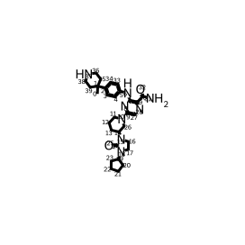 CC1(c2ccc(Nc3nc(N4CCCC(N5CCN(C6CCCC6)C5=O)C4)cnc3C(N)=O)cc2)CCNCC1